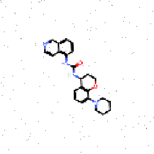 O=C(Nc1cccc2cnccc12)NC1CCOc2c1cccc2N1CCCCC1